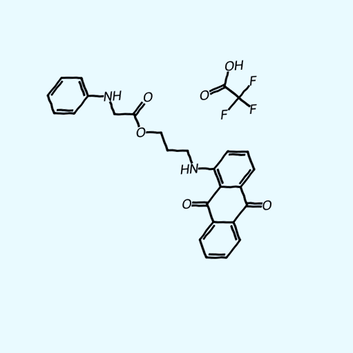 O=C(CNc1ccccc1)OCCCNc1cccc2c1C(=O)c1ccccc1C2=O.O=C(O)C(F)(F)F